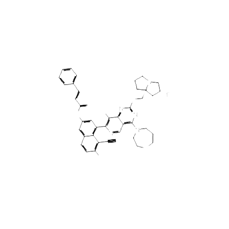 C#Cc1c(F)ccc2cc(OC(=O)C=Cc3ccccc3)cc(-c3ncc4c(N5CCCOCC5)nc(OC[C@@]56CCCN5C[C@H](F)C6)nc4c3F)c12